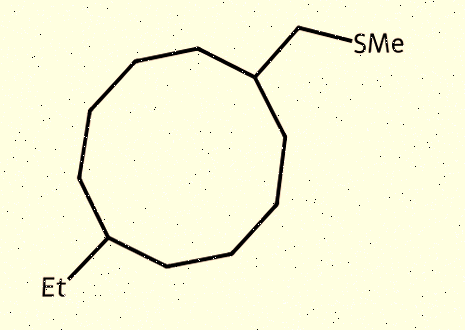 CCC1CCCCC(CSC)CCCC1